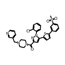 CS(=O)(=O)c1cccc(-c2ccc(-c3cc(C(=O)N4CCN(Cc5cccnc5)CC4)nn3-c3ccccc3Cl)s2)c1